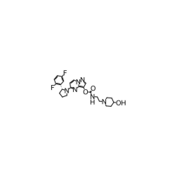 O=C(NCCN1CCC(O)CC1)Oc1cnn2ccc(N3CCC[C@@H]3c3cc(F)ccc3F)nc12